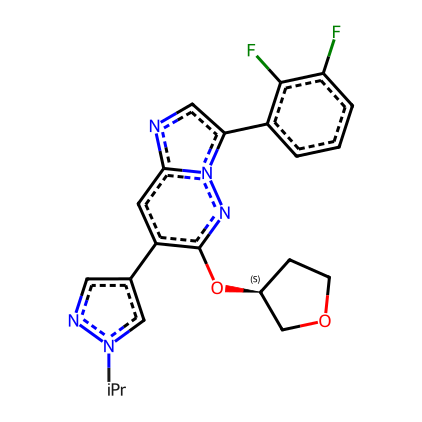 CC(C)n1cc(-c2cc3ncc(-c4cccc(F)c4F)n3nc2O[C@H]2CCOC2)cn1